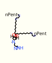 CCCCC/C=C\C/C=C\CCCCCCCCC1(CCCCCCCC/C=C\C/C=C\CCCCC)O[C@H]2CC(N(C)CCc3c[nH]cn3)C[C@H]2O1